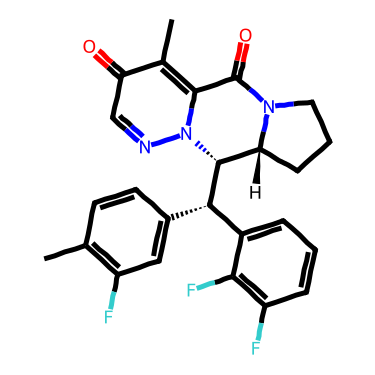 Cc1ccc([C@@H](c2cccc(F)c2F)[C@H]2[C@H]3CCCN3C(=O)c3c(C)c(=O)cnn32)cc1F